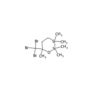 CC1(C(Br)(Br)Br)CC[Si](C)(C)[Si](C)(C)O1